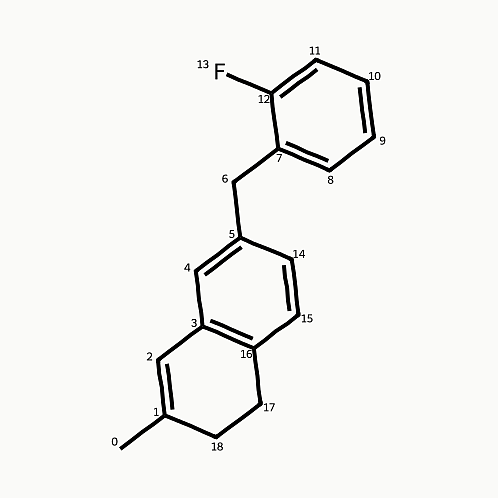 CC1=Cc2cc(Cc3ccccc3F)ccc2CC1